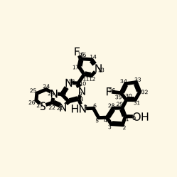 Oc1ccc(CCNc2nc(-c3cncc(F)c3)nc3c2nc2n3CCCS2)cc1-c1ccccc1F